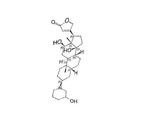 C[C@]12CC[C@H](N3CCCC(O)C3)C[C@H]1CC[C@@H]1[C@@H]2C[C@@H](O)[C@]2(C)[C@@H](C3=CC(=O)OC3)CC[C@]12O